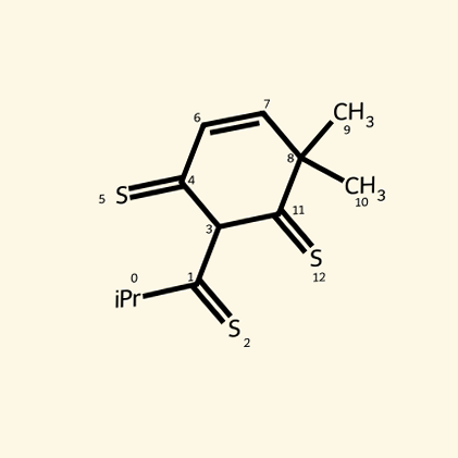 CC(C)C(=S)C1C(=S)C=CC(C)(C)C1=S